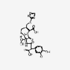 CO[C@@]1(NC(=O)C(C(=O)O)c2ccc(O)c(Cl)c2)C(=O)N2C(C(=O)O)=C(CSc3nncs3)CS[C@@H]21